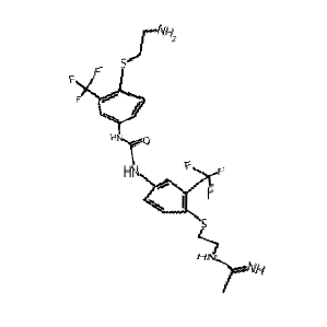 CC(=N)NCCSc1ccc(NC(=O)Nc2ccc(SCCN)c(C(F)(F)F)c2)cc1C(F)(F)F